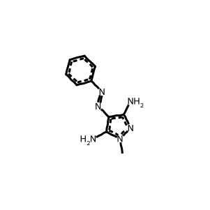 Cn1nc(N)c(N=Nc2ccccc2)c1N